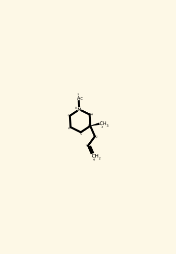 C=CC[C@]1(C)CCCN(C(C)=O)C1